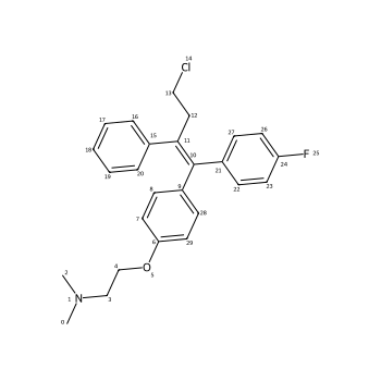 CN(C)CCOc1ccc(C(=C(CCCl)c2ccccc2)c2ccc(F)cc2)cc1